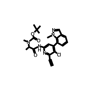 C#Cc1nc(NC(=O)C(C)N(C)C(=O)OC(C)(C)C)cc(-c2cccc3cnn(C)c23)c1Cl